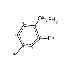 Cc1ccc(OP)c(F)c1